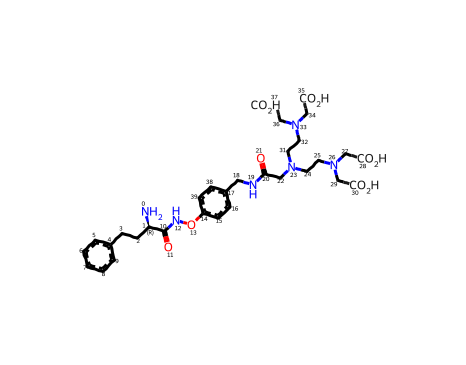 N[C@H](CCc1ccccc1)C(=O)NOc1ccc(CNC(=O)CN(CCN(CC(=O)O)CC(=O)O)CCN(CC(=O)O)CC(=O)O)cc1